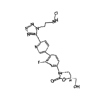 O=C1O[C@@H](CO)CN1c1ccc(-c2ccc(-c3nnnn3CCNCl)nc2)c(F)c1